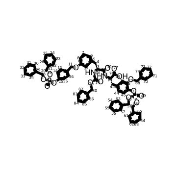 O=C(N[C@@H](Cc1cccc(OCc2ccc(OP(=O)(OCc3ccccc3)OCc3ccccc3)cc2)c1)C(=O)N[C@@H](Cc1ccc(OP(=O)(OCc2ccccc2)OCc2ccccc2)c(OCc2ccccc2)c1)C(=O)O)OCc1ccccc1